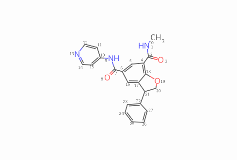 CNC(=O)c1cc(C(=O)Nc2ccncc2)cc2c1OCC2c1ccccc1